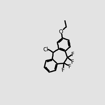 CCOc1ccc2c(c1)C(Cl)c1ccccc1C(F)(F)C2(F)F